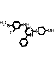 COc1ccc(Nc2cc(-c3ccccc3)nc(N3CCC(O)CC3)n2)cc1Cl